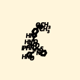 CC(C)C[C@H](NC(=O)c1cc2cc(C(=O)N(C)C)ccc2[nH]1)C(=O)N[C@@H](CC1CCNC1=O)C(=O)c1nc2ccccc2s1